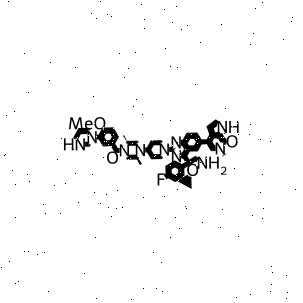 COc1ccc(C(=O)N2C[C@H](C)N(C3CCN(c4nc(C(CN)(OC5CC5)c5ccc(F)cc5)c5cc(-c6cn(C)c(=O)c7[nH]ccc67)ccc5n4)CC3)C[C@H]2C)cc1N1C=CCNC1